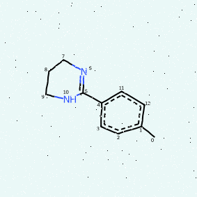 Cc1ccc(C2=NCCCN2)cc1